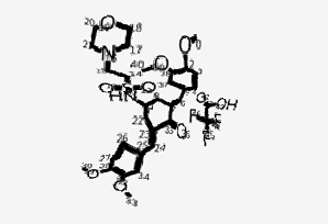 COc1ccc(/C=C2\CC(NS(=O)(=O)CCN3CCOCC3)C/C(=C\c3ccc(OC)c(OC)c3)C2=O)cc1OC.O=C(O)C(F)(F)F